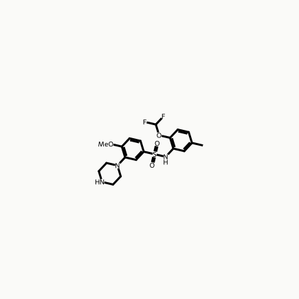 COc1ccc(S(=O)(=O)Nc2cc(C)ccc2OC(F)F)cc1N1CCNCC1